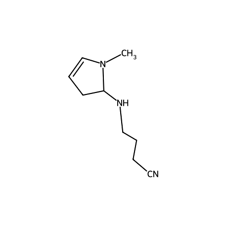 CN1C=CCC1NCCCC#N